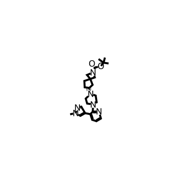 Cn1cc(-c2cccnc2N2CCN([C@@H]3CCC4(C3)CN(C(=O)OC(C)(C)C)C4)CC2)cn1